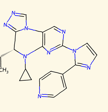 CC[C@@H]1c2nncn2-c2cnc(-n3ccnc3-c3ccncc3)nc2N1C1CC1